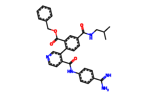 CC(C)CNC(=O)c1ccc(-c2cnccc2C(=O)Nc2ccc(C(=N)N)cc2)c(C(=O)OCc2ccccc2)c1